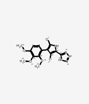 COc1ccc(-c2c(Cl)[nH]c(-c3nnn[nH]3)c2Cl)c(OC)c1OC